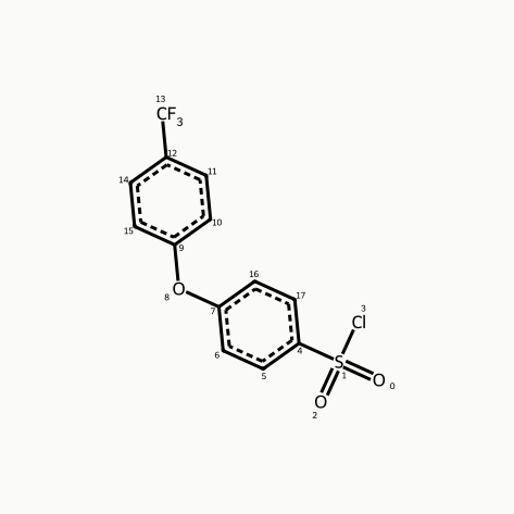 O=S(=O)(Cl)c1ccc(Oc2ccc(C(F)(F)F)cc2)cc1